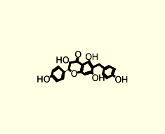 O=C1c2c(cc(O)c(Cc3ccc(O)cc3)c2O)O[C@H](c2ccc(O)cc2)[C@H]1O